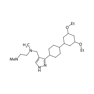 CCOC1CC(OCC)CC(C2CCC(c3n[nH]cc3CN(C)CCNC)CC2)C1